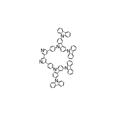 c1ccc2c(c1)c1ccccc1n2-c1ccc2c(c1)c1cc(-n3c4ccccc4c4ccccc43)ccc1n2-c1ccc(-c2cncc(-c3cncc(-c4ccc(-n5c6ccc(-n7c8ccccc8c8ccccc87)cc6c6cc(-n7c8ccccc8c8ccccc87)ccc65)cc4)c3)c2)cc1